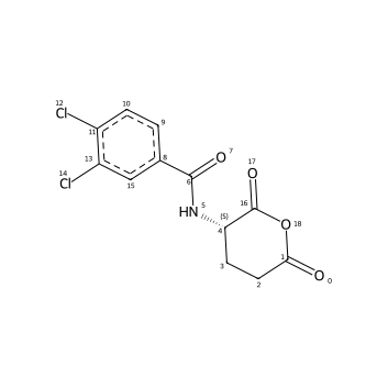 O=C1CC[C@H](NC(=O)c2ccc(Cl)c(Cl)c2)C(=O)O1